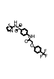 O=C(COc1ccc(C(F)(F)F)cc1)Nc1ccc(S(=O)(=O)Nc2nccs2)cc1